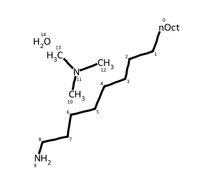 CCCCCCCCCCCCCCCCN.CN(C)C.O